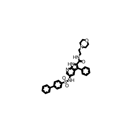 O=C(NCCN1CCOCC1)c1[nH]c2ncc(NS(=O)(=O)c3ccc(-c4ccccc4)cc3)cc2c1-c1ccccc1